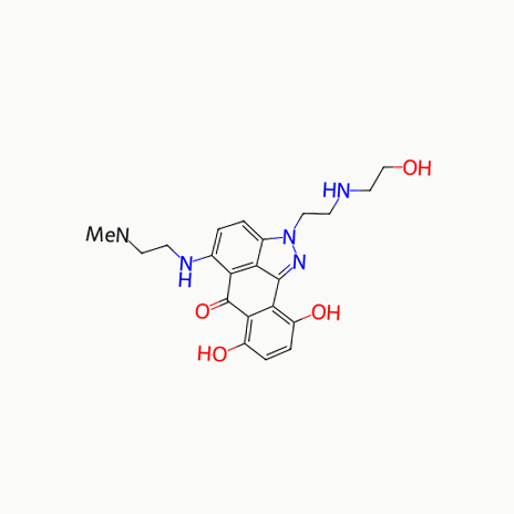 CNCCNc1ccc2c3c(nn2CCNCCO)-c2c(O)ccc(O)c2C(=O)c13